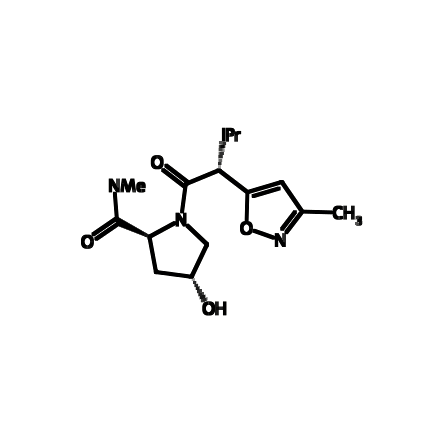 CNC(=O)[C@@H]1C[C@@H](O)CN1C(=O)[C@@H](c1cc(C)no1)C(C)C